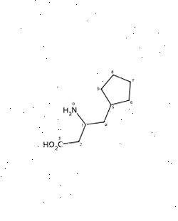 NC(CC(=O)O)CC1CCCC1